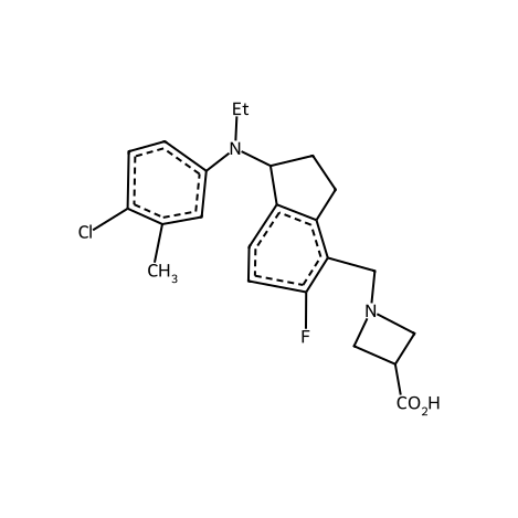 CCN(c1ccc(Cl)c(C)c1)C1CCc2c1ccc(F)c2CN1CC(C(=O)O)C1